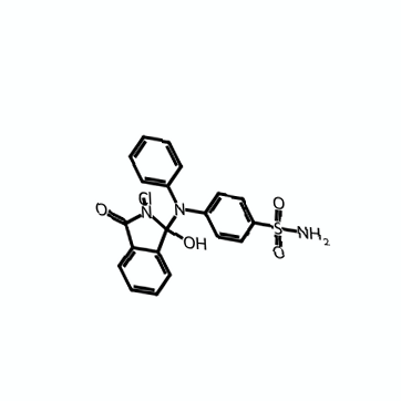 NS(=O)(=O)c1ccc(N(c2ccccc2)C2(O)c3ccccc3C(=O)N2Cl)cc1